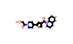 O=C(CO)N1CC=C(c2cc(C(=O)N3CCCC4CCCCC43)cs2)CC1